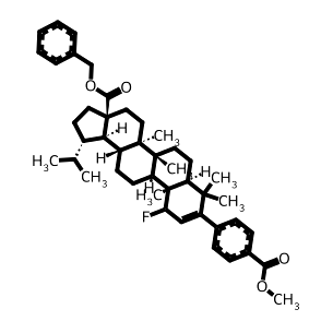 COC(=O)c1ccc(C2=CC(F)[C@]3(C)[C@H]4CC[C@@H]5[C@H]6[C@H](C(C)C)CC[C@]6(C(=O)OCc6ccccc6)CC[C@@]5(C)[C@]4(C)CC[C@H]3C2(C)C)cc1